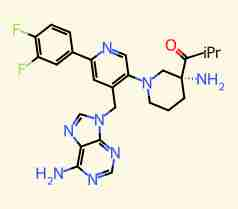 CC(C)C(=O)[C@@]1(N)CCCN(c2cnc(-c3ccc(F)c(F)c3)cc2Cn2cnc3c(N)ncnc32)C1